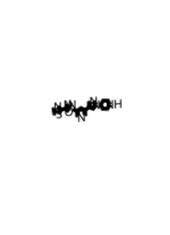 c1csc(-c2nnc(-c3cncc(-c4cnn(C5CCNCC5)c4)c3)o2)n1